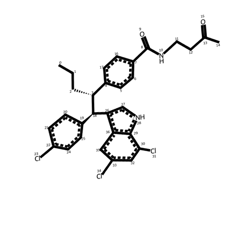 CCC[C@H](c1ccc(C(=O)NCCC(C)=O)cc1)[C@H](c1ccc(Cl)cc1)c1c[nH]c2c(Cl)cc(Cl)cc12